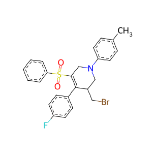 Cc1ccc(N2CC(S(=O)(=O)c3ccccc3)=C(c3ccc(F)cc3)C(CBr)C2)cc1